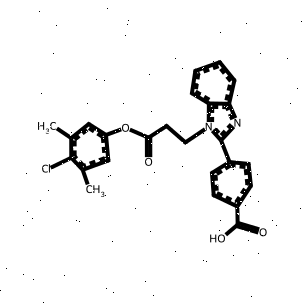 Cc1cc(OC(=O)CCn2c(-c3ccc(C(=O)O)cc3)nc3ccccc32)cc(C)c1Cl